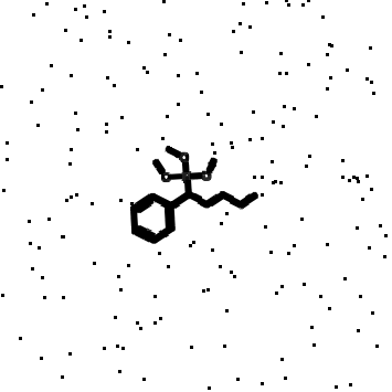 CCCCC(c1ccccc1)[Si](OC)(OC)OC